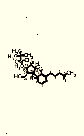 CC(=O)CCCc1cccc2c1O[C@H]1C[C@@H](O[Si](C)(C)C(C)(C)C)[C@H](CO)[C@@H]21